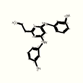 CCCc1nc(Nc2cccc(O)c2)cc(Nc2cccc(O)c2)n1